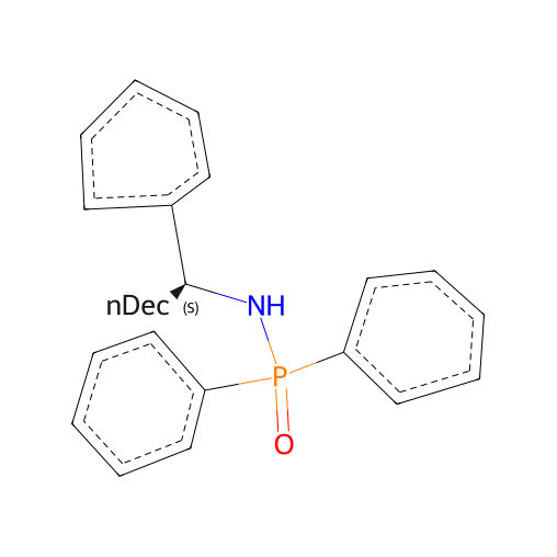 CCCCCCCCCC[C@H](NP(=O)(c1ccccc1)c1ccccc1)c1ccccc1